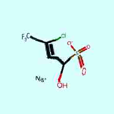 O=S(=O)([O-])C(O)C=C(Cl)C(F)(F)F.[Na+]